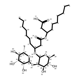 CCCCCCCC(CC(=O)O)OC(=O)CC(CCCCCCC)OC1O[C@@H](C)[C@H](O)[C@@H](O)[C@H]1O[C@@H]1O[C@@H](C)[C@H](O)[C@@H](O)[C@H]1O